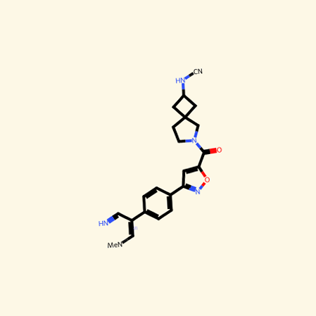 CN/C=C(\C=N)c1ccc(-c2cc(C(=O)N3CCC4(CC(NC#N)C4)C3)on2)cc1